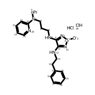 CCCN(CCCNc1n[s+]([O-])nc1NCCc1ccccc1)c1ccccn1.Cl.Cl